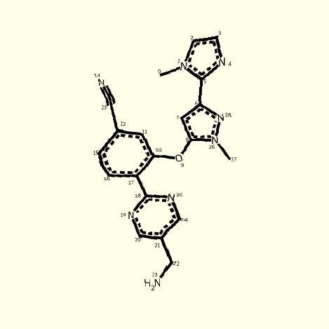 Cn1ccnc1-c1cc(Oc2cc(C#N)ccc2-c2ncc(CN)cn2)n(C)n1